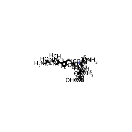 C[n+]1cc(-c2ccc3c(c2)CC[C@H]([C@](C)(O/N=C(\C(=O)N[C@@H]2C(=O)N(OS(=O)(=O)OC=O)C2(C)C)c2csc(N)n2)C(=O)O)O3)cnc1NC[C@@H](O)CN